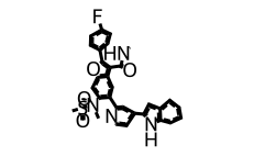 CNC(=O)c1c(-c2ccc(F)cc2)oc2cc(N(C)S(C)(=O)=O)c(-c3cc(-c4cc5ccccc5[nH]4)ccn3)cc12